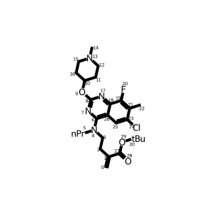 C=C(CCN(CCC)c1nc(OC2CCN(C)CC2)nc2c(F)c(C)c(Cl)cc12)C(=O)OC(C)(C)C